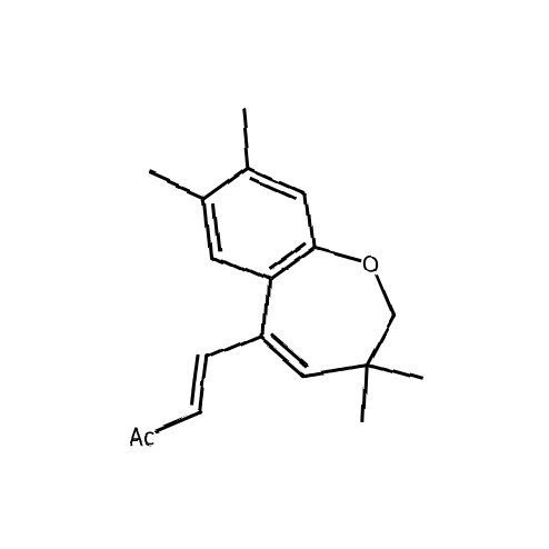 CC(=O)C=CC1=CC(C)(C)COc2cc(C)c(C)cc21